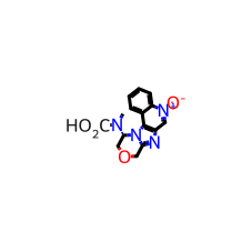 CN(C(=O)O)[C@H]1COCc2nc3c[n+]([O-])c4ccccc4c3n21